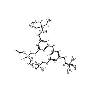 CCOP(=O)(CCc1cc(CNC(CO)(CO)CO)cc(Cc2cc(CCP(=O)(O)O)cc(CCP(=O)(O)O)c2)c1)OCC